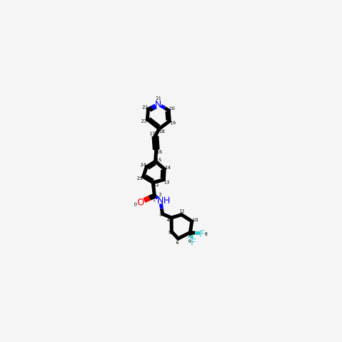 O=C(NCC1CCC(F)(F)CC1)c1ccc(C#Cc2ccncc2)cc1